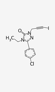 CCn1c(-c2ccc(Cl)cc2)nn(CC#CI)c1=O